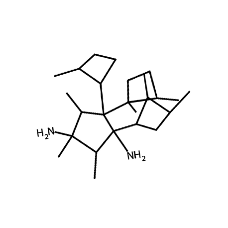 CC1CC(C2(N)C(C)C(C)(N)C(C)C2(C2CCC2C)C2(C)CCC2C)C1C